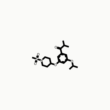 CC(C)Oc1cc(OC2CCN(S(C)(=O)=O)CC2)cc(C(=O)C(C)C)c1